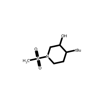 CC(C)(C)C1CCN(S(C)(=O)=O)CC1O